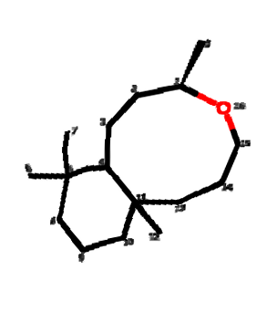 C[C@@H]1CCC2C(C)(C)CCCC2(C)CCCO1